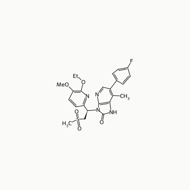 CCOc1nc([C@H](CS(C)(=O)=O)n2c(=O)[nH]c3c(C)c(-c4ccc(F)cc4)cnc32)ccc1OC